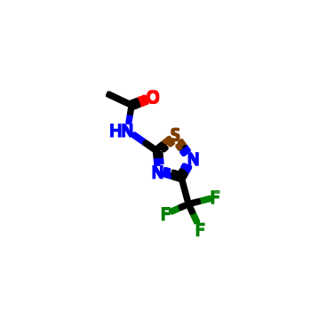 CC(=O)Nc1nc(C(F)(F)F)ns1